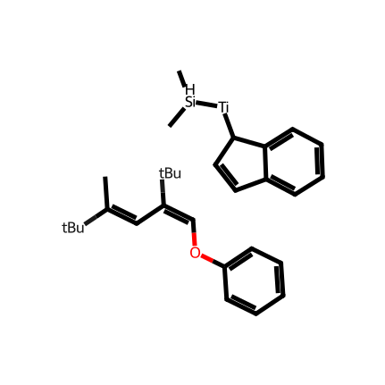 CC(=CC(=COc1ccccc1)C(C)(C)C)C(C)(C)C.C[SiH](C)[Ti][CH]1C=Cc2ccccc21